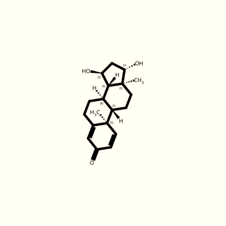 C[C@]12CC[C@H]3[C@@H](CCC4=CC(=O)C=C[C@@]43C)[C@@H]1[C@@H](O)C[C@@H]2O